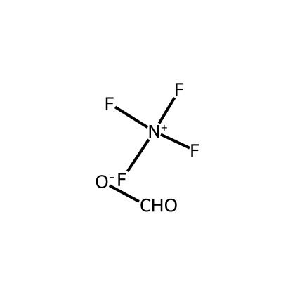 F[N+](F)(F)F.O=C[O-]